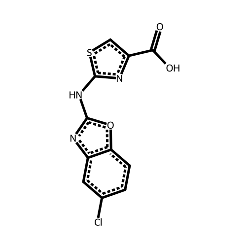 O=C(O)c1csc(Nc2nc3cc(Cl)ccc3o2)n1